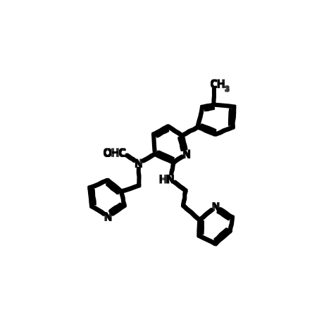 Cc1cccc(-c2ccc(N(C=O)Cc3cccnc3)c(NCCc3ccccn3)n2)c1